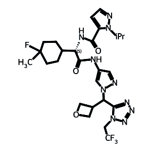 CC(C)n1nccc1C(=O)N[C@H](C(=O)Nc1cnn(C(c2nnnn2CC(F)(F)F)C2COC2)c1)C1CCC(C)(F)CC1